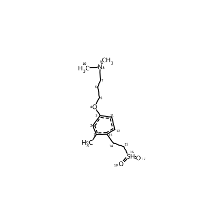 Cc1cc(OCCCN(C)C)ccc1CC[SH](=O)=O